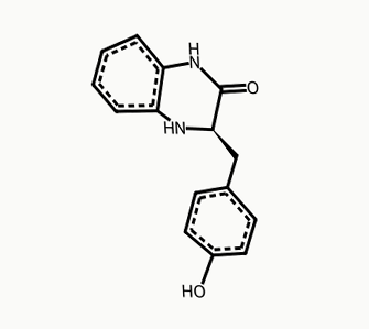 O=C1Nc2ccccc2N[C@@H]1Cc1ccc(O)cc1